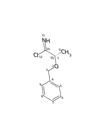 C[C@H](OCc1ccccc1)C(=N)Cl